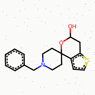 OC1Cc2sccc2C2(CCN(Cc3ccccc3)CC2)O1